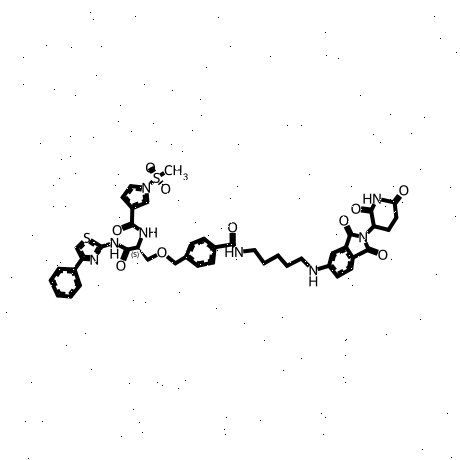 CS(=O)(=O)n1ccc(C(=O)N[C@@H](COCc2ccc(C(=O)NCCCCCNc3ccc4c(c3)C(=O)N(C3CCC(=O)NC3=O)C4=O)cc2)C(=O)Nc2nc(-c3ccccc3)cs2)c1